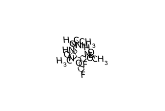 CCS(=O)(=O)Nc1ccc(Oc2ccc(F)cc2F)c(C2=CN(C)C(=O)C3NC(C(=O)NC(C)C)=CC23)c1